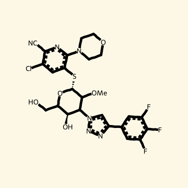 COC1C(n2cc(-c3cc(F)c(F)c(F)c3)nn2)[C@@H](O)C(CO)O[C@@H]1Sc1cc(Cl)c(C#N)nc1N1CCOCC1